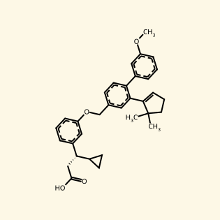 COc1cccc(-c2ccc(COc3cccc([C@@H](CC(=O)O)C4CC4)c3)cc2C2=CCCC2(C)C)c1